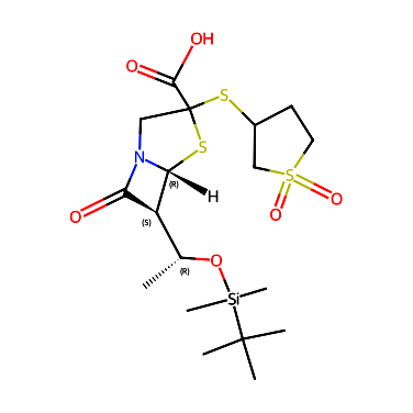 C[C@@H](O[Si](C)(C)C(C)(C)C)[C@H]1C(=O)N2CC(SC3CCS(=O)(=O)C3)(C(=O)O)S[C@H]12